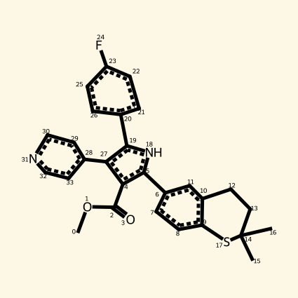 COC(=O)c1c(-c2ccc3c(c2)CCC(C)(C)S3)[nH]c(-c2ccc(F)cc2)c1-c1ccncc1